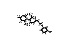 Cc1cc(C)c(-c2c(O)cc(CCSc3cccc(F)c3)oc2=O)c(C)c1